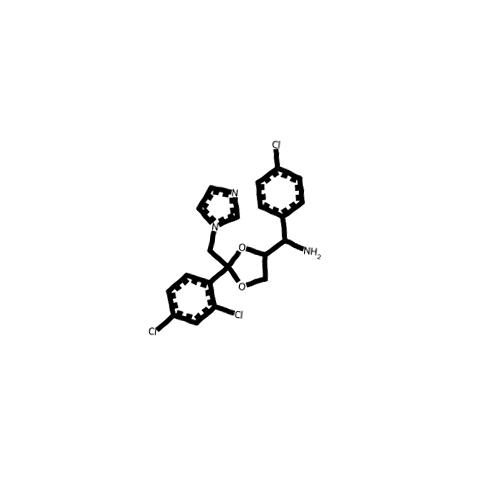 NC(c1ccc(Cl)cc1)C1COC(Cn2ccnc2)(c2ccc(Cl)cc2Cl)O1